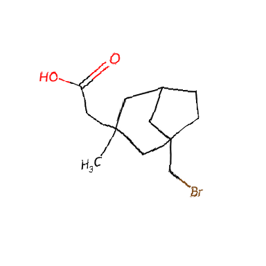 CC1(CC(=O)O)CC2CCC(CBr)(C2)C1